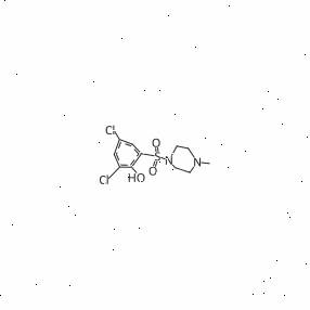 CN1CCN(S(=O)(=O)c2cc(Cl)cc(Cl)c2O)CC1